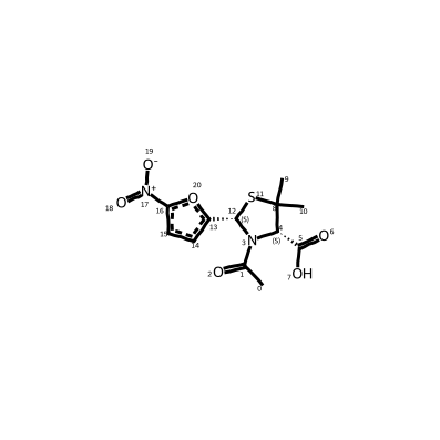 CC(=O)N1[C@@H](C(=O)O)C(C)(C)S[C@H]1c1ccc([N+](=O)[O-])o1